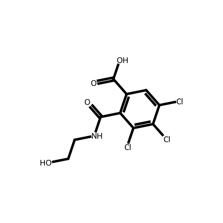 O=C(O)c1cc(Cl)c(Cl)c(Cl)c1C(=O)NCCO